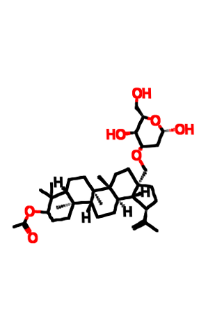 C=C(C)[C@@H]1CC[C@]2(CO[C@@H]3C[C@@H](O)O[C@H](CO)[C@@H]3O)CC[C@]3(C)[C@H](CC[C@@H]4[C@@]5(C)CCC(OC(C)=O)C(C)(C)[C@@H]5CC[C@]43C)[C@@H]12